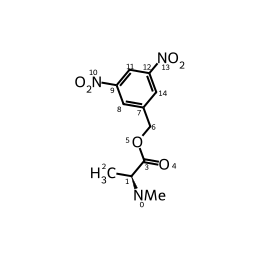 CN[C@@H](C)C(=O)OCc1cc([N+](=O)[O-])cc([N+](=O)[O-])c1